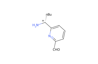 CCCC[C@@H](N)c1cccc(C=O)n1